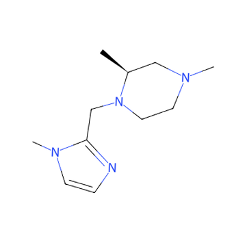 C[C@H]1CN(C)CCN1Cc1nccn1C